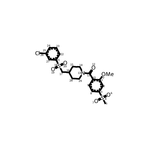 COc1cc(S(C)(=O)=O)ccc1C(=O)N1CCC(CS(=O)(=O)c2cccc(Cl)c2)CC1